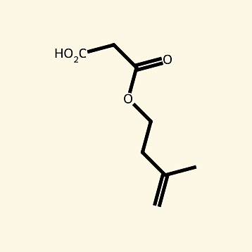 C=C(C)CCOC(=O)CC(=O)O